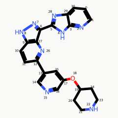 c1cnc2[nH]c(-c3n[nH]c4ccc(-c5cncc(OC6CCNCC6)c5)nc34)nc2c1